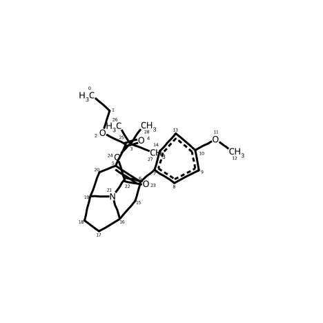 CCOC(=O)C1=C(c2ccc(OC)cc2)CC2CCC(C1)N2C(=O)OC(C)(C)C